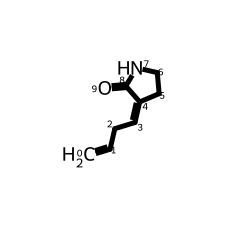 C=CCC=C1CCNC1=O